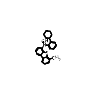 Cc1cccc2c1sc1c(N(C)c3ccccc3C3CCCCC3)cccc12